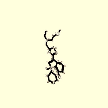 CCN(CCOC)Cc1nc(C2=C[N+](C)(C3CCOCC3)c3c(Cl)cccc32)ns1